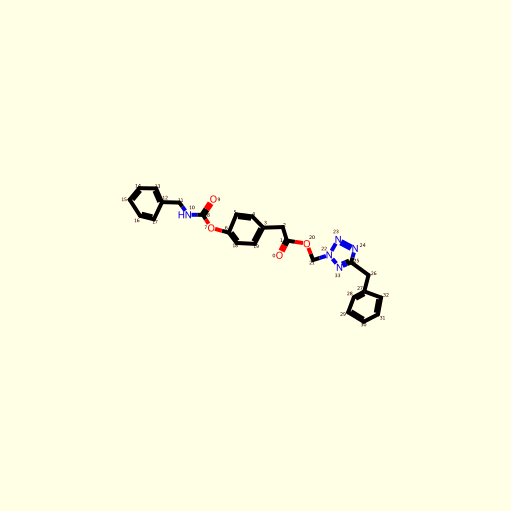 O=C(Cc1ccc(OC(=O)NCc2ccccc2)cc1)OCn1nnc(Cc2ccccc2)n1